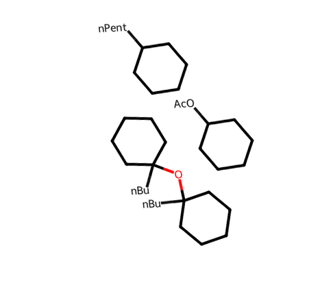 CC(=O)OC1CCCCC1.CCCCC1(OC2(CCCC)CCCCC2)CCCCC1.CCCCCC1CCCCC1